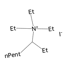 CCCCCC(CC)[N+](CC)(CC)CC.[I-]